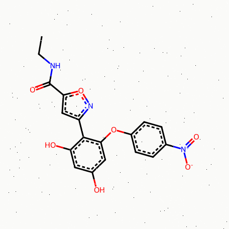 CCNC(=O)c1cc(-c2c(O)cc(O)cc2Oc2ccc([N+](=O)[O-])cc2)no1